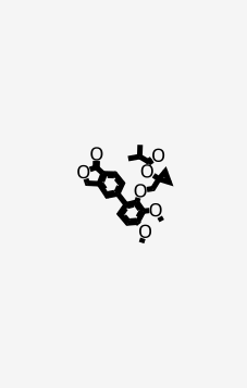 COc1ccc(-c2ccc3c(c2)COC3=O)c(OCC2(OC(=O)C(C)C)CC2)c1OC